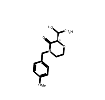 COc1ccc(CN2CCO[C@H](C(O)C(=O)O)C2=O)cc1